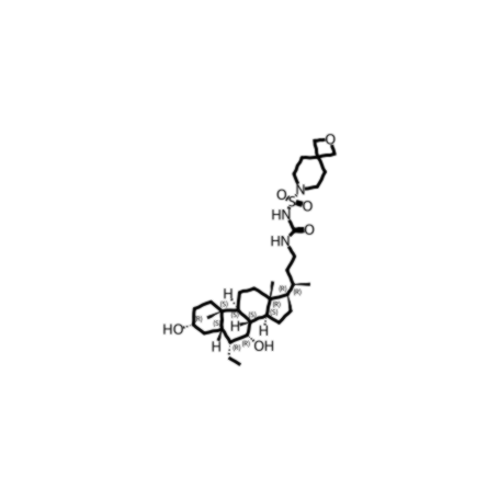 CC[C@H]1[C@@H](O)[C@@H]2[C@H](CC[C@]3(C)[C@@H]([C@H](C)CCNC(=O)NS(=O)(=O)N4CCC5(CC4)COC5)CC[C@@H]23)[C@@]2(C)CC[C@@H](O)C[C@@H]12